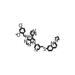 COc1ccc(CNc2ncnc3c2c(-c2ccn(C)n2)cn3-c2cncc(CSc3ccc4ccc(N5CCC5)nc4c3)c2)c(OC)c1